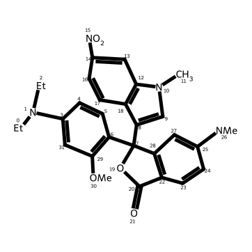 CCN(CC)c1ccc(C2(c3cn(C)c4cc([N+](=O)[O-])ccc34)OC(=O)c3ccc(NC)cc32)c(OC)c1